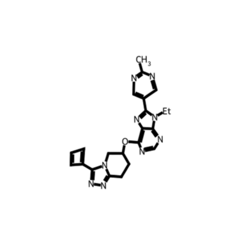 CCn1c(-c2cnc(C)nc2)nc2c(OC3CCc4nnc(C5=CC=C5)n4C3)ncnc21